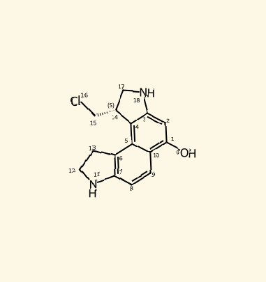 Oc1cc2c(c3c4c(ccc13)NCC4)[C@H](CCl)CN2